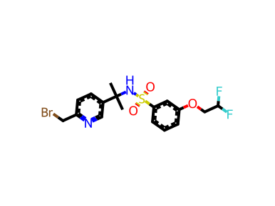 CC(C)(NS(=O)(=O)c1cccc(OCC(F)F)c1)c1ccc(CBr)nc1